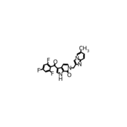 Cc1ccc2nc(Cn3ccc4c(C(=O)c5c(F)cc(F)cc5F)c[nH]c4c3=O)cn2c1